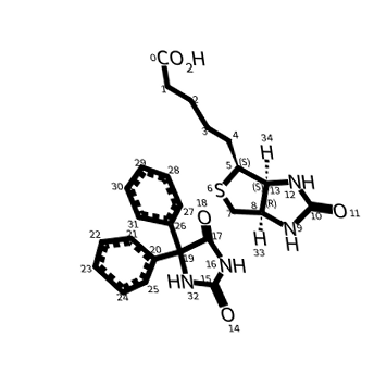 O=C(O)CCCC[C@@H]1SC[C@@H]2NC(=O)N[C@@H]21.O=C1NC(=O)C(c2ccccc2)(c2ccccc2)N1